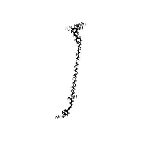 CCCCc1nc2c(N)nc3cc(C4CCN(CCOCCOCCOCCOCCOCCOCCOCCOCCNC(=O)CCCC#Cc5cnc(SC)nc5)CC4)sc3c2[nH]1